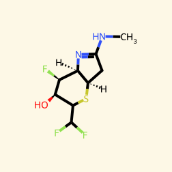 CNC1=N[C@@H]2[C@H](F)[C@H](O)C(C(F)F)S[C@@H]2C1